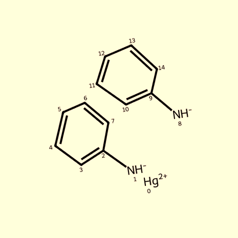 [Hg+2].[NH-]c1ccccc1.[NH-]c1ccccc1